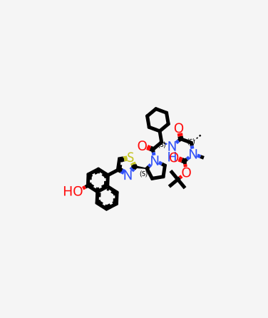 C[C@@H](C(=O)N[C@H](C(=O)N1CCC[C@H]1c1nc(-c2ccc(O)c3ccccc23)cs1)C1CCCCC1)N(C)C(=O)OC(C)(C)C